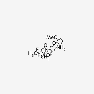 COc1ccccc1Oc1cc(-n2c(=O)cc(C(C)(F)F)n(C)c2=O)c(F)cc1N